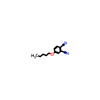 CCCCCOc1ccc(C#N)c(C#N)c1